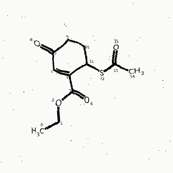 CCOC(=O)C1=CC(=O)CCC1SC(C)=O